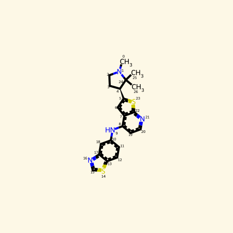 CN1CC[C@H](c2cc3c(Nc4ccc5scnc5c4)ccnc3s2)C1(C)C